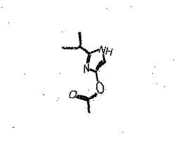 CC(=O)Oc1c[nH]c(C(C)C)n1